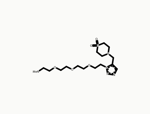 CNCCOCCOCCOCCn1nncc1CN1CCS(=O)(=O)CC1